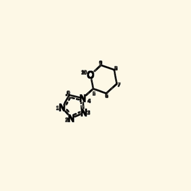 [c]1nnnn1C1CCCCO1